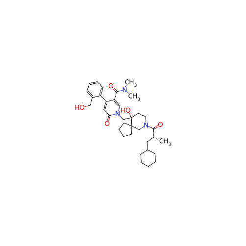 C[C@H](CC1CCCCC1)C(=O)N1CCC(O)(Cn2cc(C(=O)N(C)C)c(-c3ccccc3CO)cc2=O)C2(CCCC2)C1